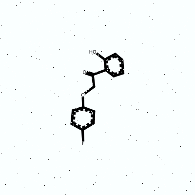 O=C(COc1ccc(F)cc1)c1ccccc1O